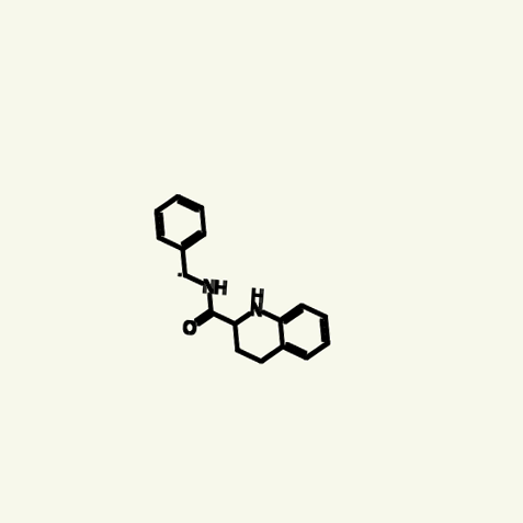 O=C(N[CH]c1ccccc1)C1CCc2ccccc2N1